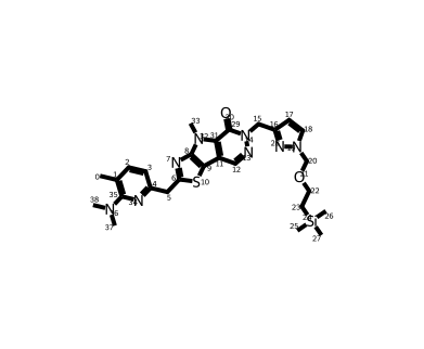 Cc1ccc(Cc2nc3c(s2)c2cnn(Cc4ccn(COCC[Si](C)(C)C)n4)c(=O)c2n3C)nc1N(C)C